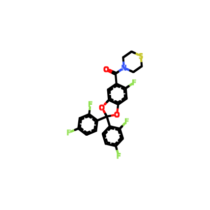 O=C(c1cc2c(cc1F)OC(c1ccc(F)cc1F)(c1ccc(F)cc1F)O2)N1CCSCC1